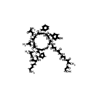 CCCCCCCCCCCC(=O)OC(C)C(=O)NCC(=O)NCC(=O)NCC(=O)N[C@H]1CSSC[C@@H](C(=O)N2CCC[C@H]2C(=O)N[C@@H](CCCCN)C(=O)NCC(N)=O)NC(=O)[C@H](CC(N)=O)NC(=O)[C@H](CCC(N)=O)NC(=O)[C@H](Cc2ccccc2)NC(=O)[C@@H](Cc2ccc(O)cc2)NC1=O